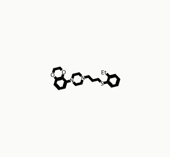 CCc1ccccc1SCCCN1CCN(c2cccc3c2OCCO3)CC1